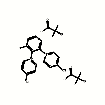 N#Cc1cc[n+](-c2cccc(I)c2-[n+]2ccc(C#N)cc2)cc1.O=C([O-])C(F)(F)F.O=C([O-])C(F)(F)F